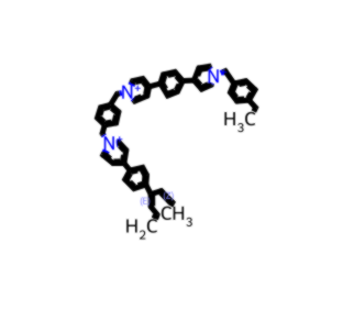 C=C/C=C(\C=C/C)c1ccc(-c2cc[n+](Cc3ccc(C[n+]4ccc(-c5ccc(-c6cc[n+](Cc7ccc(CC)cc7)cc6)cc5)cc4)cc3)cc2)cc1